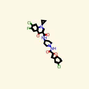 O=C(NN1CCC(NC(=O)c2cn(C3CC3)c3cc(Cl)c(F)cc3c2=O)CC1)c1cc2cc(Cl)ccc2o1